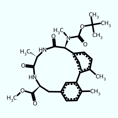 COC(=O)[C@@H]1Cc2ccc(C)c(c2)-c2cc(ccc2C)[C@H](N(C)C(=O)OC(C)(C)C)C(=O)N[C@@H](C)C(=O)N1